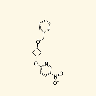 O=[N+]([O-])c1ccc(O[C@H]2C[C@H](OCc3ccccc3)C2)nc1